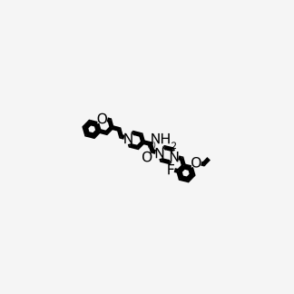 CCOc1cccc(F)c1CN1CCN(C(=O)[C@H](N)C2CCN(CCC3COc4ccccc4C3)CC2)CC1